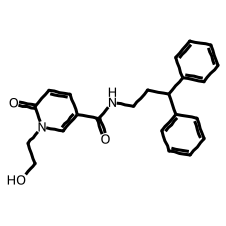 O=C(NCCC(c1ccccc1)c1ccccc1)c1ccc(=O)n(CCO)c1